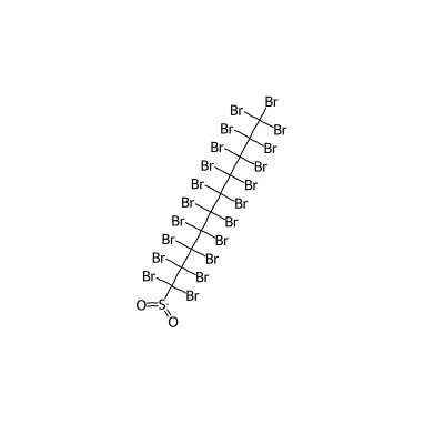 O=[S](=O)C(Br)(Br)C(Br)(Br)C(Br)(Br)C(Br)(Br)C(Br)(Br)C(Br)(Br)C(Br)(Br)C(Br)(Br)C(Br)(Br)C(Br)(Br)Br